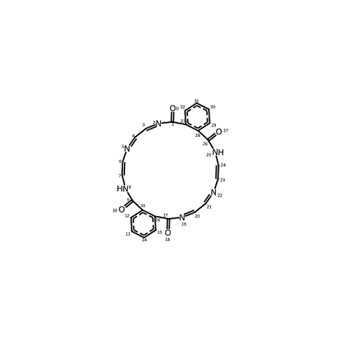 O=C1N=CC=NC=CNC(=O)c2ccccc2C(=O)N=CC=NC=CNC(=O)c2ccccc21